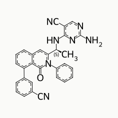 C[C@H](Nc1nc(N)ncc1C#N)c1cc2cccc(-c3cccc(C#N)c3)c2c(=O)n1-c1ccccc1